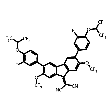 N#CC(C#N)=C1c2cc(OC(F)(F)F)c(-c3ccc(OC(C(F)(F)F)C(F)(F)F)c(F)c3)cc2-c2cc(-c3ccc(OC(C(F)(F)F)C(F)(F)F)c(F)c3)c(OC(F)(F)F)cc21